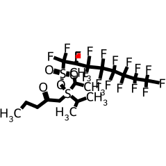 CCCC(=O)CS(OS(=O)(=O)C(F)(F)C(F)(F)C(F)(F)C(F)(F)C(F)(F)C(F)(F)C(F)(F)C(F)(F)F)(C(C)C)C(C)C